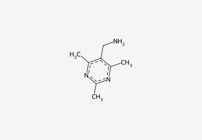 Cc1nc(C)c(CN)c(C)n1